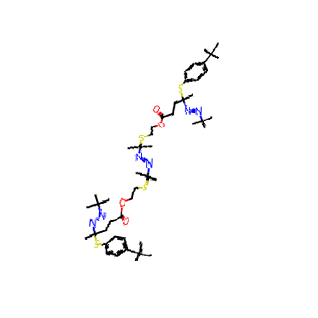 CC(C)(C)N=NC(C)(CCC(=O)OCCSC(C)(C)N=NC(C)(C)SCCOC(=O)CCC(C)(N=NC(C)(C)C)Sc1ccc(C(C)(C)C)cc1)Sc1ccc(C(C)(C)C)cc1